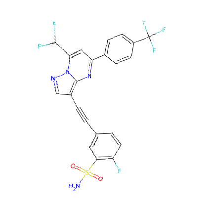 NS(=O)(=O)c1cc(C#Cc2cnn3c(C(F)F)cc(-c4ccc(C(F)(F)F)cc4)nc23)ccc1F